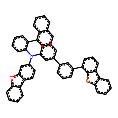 c1cc(-c2cccc(N(c3ccc4c(c3)oc3ccccc34)c3ccccc3-c3cccc4ccccc34)c2)cc(-c2cccc3c2sc2ccccc23)c1